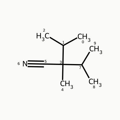 CC(C)C(C)(C#N)C(C)C